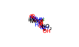 COc1nc2[nH]cc(F)c2cc1Oc1cc(N2CCC3(CC2)CC(N2CCN(Cc4ccnc5c4OCCO5)C[C@H]2c2ccccc2C(C)C)C3)ccc1C(=O)NS(=O)(=O)c1cnc(NCC2CCC(C)(O)CC2)c([N+](=O)[O-])c1